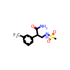 CS(=O)(=O)NCC(C(N)=O)c1cccc(C(F)(F)F)c1